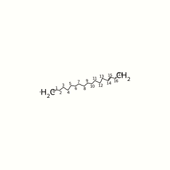 [CH2]CCCCCCCCCCCCCC=CC=C